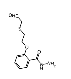 NNC(=O)c1ccccc1OCCSC[C]=O